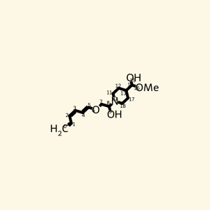 C=C/C=C\C=C\OCC(O)N1CCC(C(O)OC)CC1